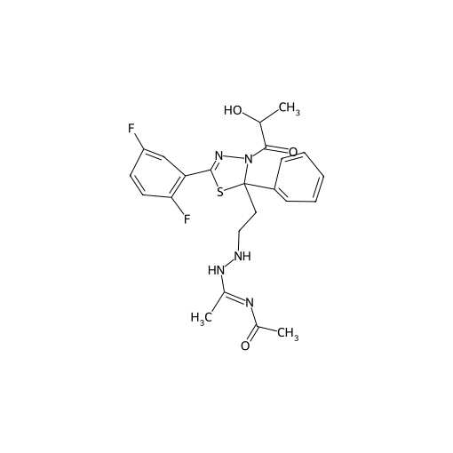 CC(=O)N=C(C)NNCCC1(c2ccccc2)SC(c2cc(F)ccc2F)=NN1C(=O)C(C)O